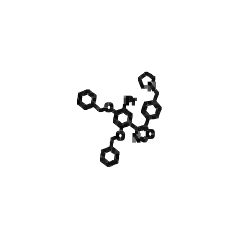 CC(C)c1cc(-c2ncoc2-c2ccc(CN3CCCC3)cc2)c(OCc2ccccc2)cc1OCc1ccccc1